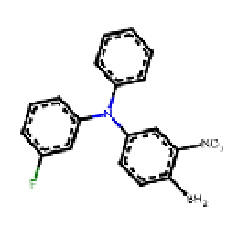 Bc1ccc(N(c2ccccc2)c2cccc(F)c2)cc1[N+](=O)[O-]